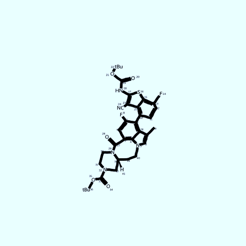 Cc1cn2c3c(cc(F)c(-c4ccc(F)c5sc(NC(=O)OC(C)(C)C)c(C#N)c45)c13)C(=O)N1CCN(C(=O)OC(C)(C)C)C[C@H]1CC2